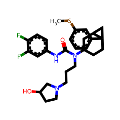 CSc1cccc(C23CCC(N(CCCN4CCC(O)C4)C(=O)Nc4ccc(F)c(F)c4)CC2C3)c1